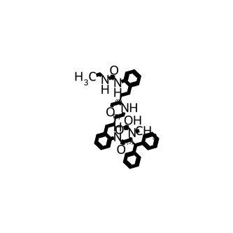 CCNC(=O)Nc1ccccc1CC[C@@H]1CO[C@H](CCc2ccccc2NC(=O)[C@H](C(c2ccccc2)c2ccccc2)N(C)C(=O)O)CN1